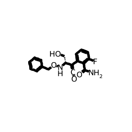 NC(=O)c1c(F)cccc1C(=C=O)[C@@H](CO)NOCc1ccccc1